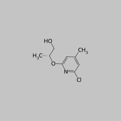 Cc1cc(Cl)nc(O[C@H](C)CO)c1